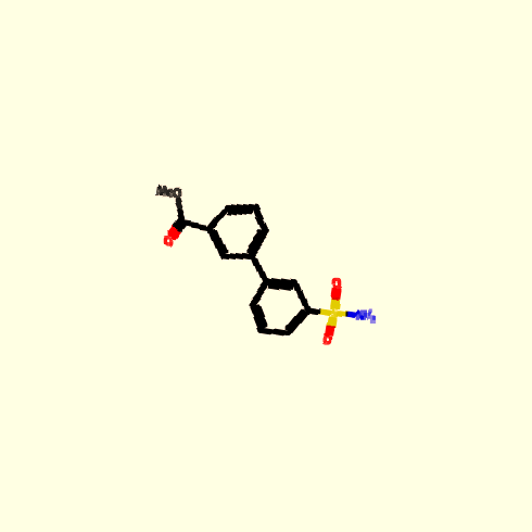 COC(=O)c1cccc(-c2cccc(S(N)(=O)=O)c2)c1